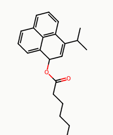 CCCCCC(=O)OC1C=C(C(C)C)c2cccc3cccc1c23